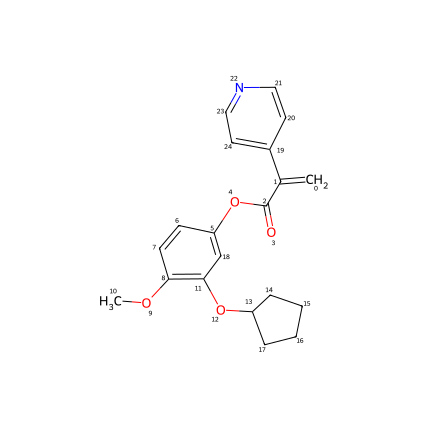 C=C(C(=O)Oc1ccc(OC)c(OC2CCCC2)c1)c1ccncc1